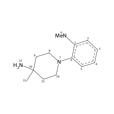 CNc1ccccc1N1CCC(C)(N)CC1